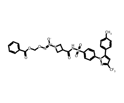 Cc1ccc(-c2cc(C(F)(F)F)nn2-c2ccc(S(=O)(=O)NC(=O)C3CN(/[N+]([O-])=N/OCOC(=O)c4ccccc4)C3)cc2)cc1